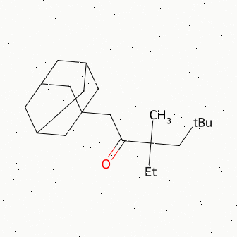 CCC(C)(CC(C)(C)C)C(=O)CC12CC3CC(CC(C3)C1)C2